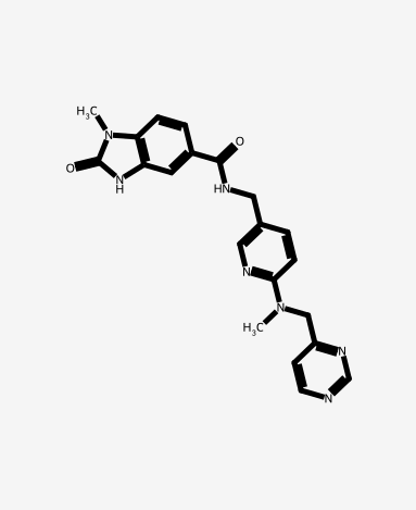 CN(Cc1ccncn1)c1ccc(CNC(=O)c2ccc3c(c2)[nH]c(=O)n3C)cn1